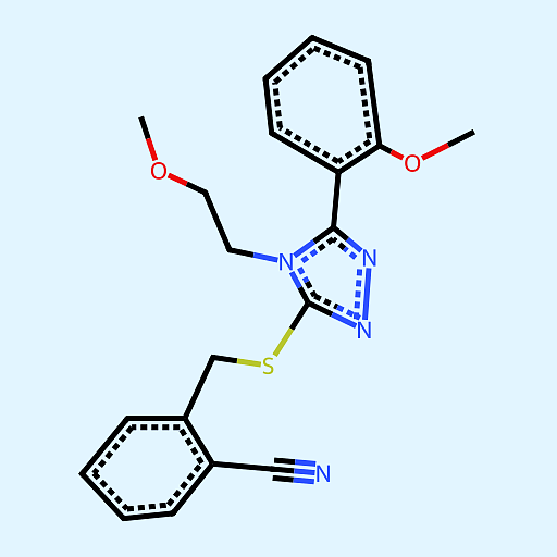 COCCn1c(SCc2ccccc2C#N)nnc1-c1ccccc1OC